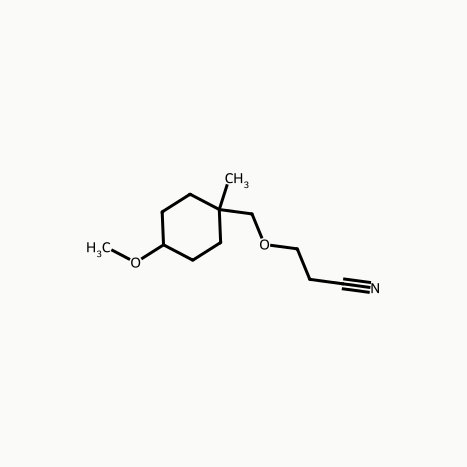 COC1CCC(C)(COCCC#N)CC1